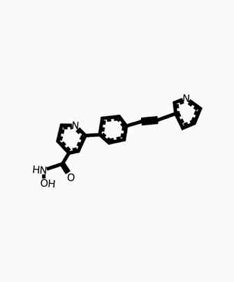 O=C(NO)c1ccnc(-c2ccc(C#Cc3cccnc3)cc2)c1